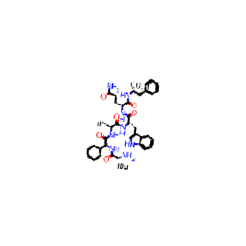 CC[C@H](C)[C@H](N)C(=O)N[C@H](C(=O)N[C@H](C(=O)N[C@@H](Cc1c[nH]c2ccccc12)C(=O)N[C@@H](CCC(N)=O)C(=O)N[C@@H](Cc1ccccc1)C(=O)O)C(C)C)C1CCCCC1